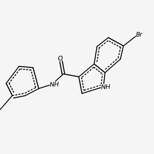 O=C(Nc1cccc(Cl)c1)c1c[nH]c2cc(Br)ccc12